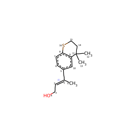 C/C(=C\CO)c1ccc2c(c1)C(C)(C)CCS2